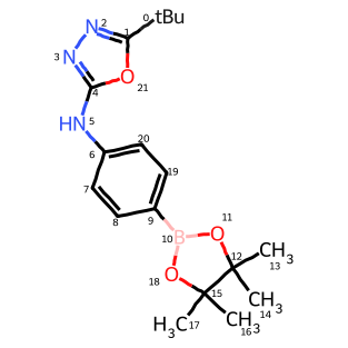 CC(C)(C)c1nnc(Nc2ccc(B3OC(C)(C)C(C)(C)O3)cc2)o1